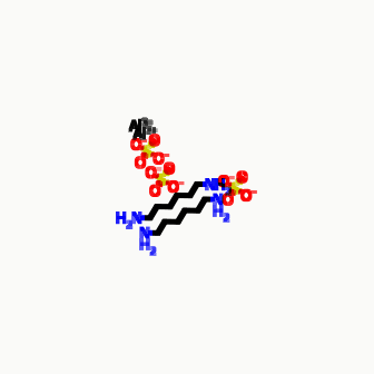 NCCCCCCN.NCCCCCCN.O=S(=O)([O-])[O-].O=S(=O)([O-])[O-].O=S(=O)([O-])[O-].[Al+3].[Al+3]